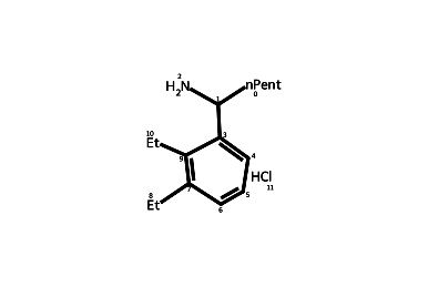 CCCCCC(N)c1cccc(CC)c1CC.Cl